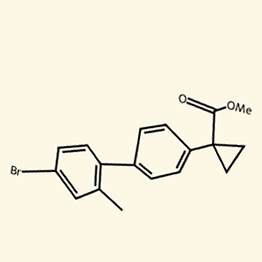 COC(=O)C1(c2ccc(-c3ccc(Br)cc3C)cc2)CC1